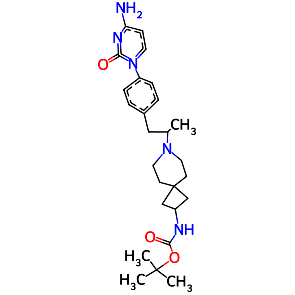 CC(Cc1ccc(-n2ccc(N)nc2=O)cc1)N1CCC2(CC1)CC(NC(=O)OC(C)(C)C)C2